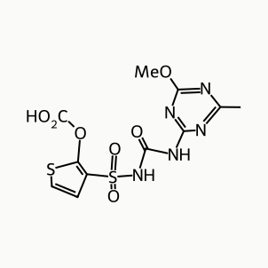 COc1nc(C)nc(NC(=O)NS(=O)(=O)c2ccsc2OC(=O)O)n1